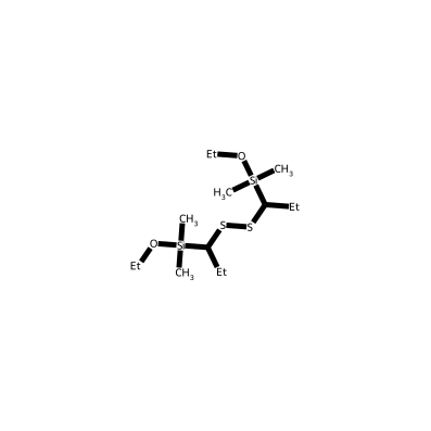 CCO[Si](C)(C)C(CC)SSC(CC)[Si](C)(C)OCC